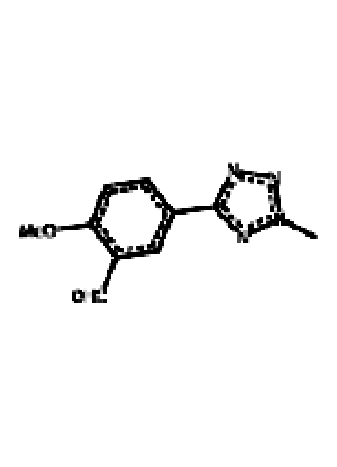 COc1ccc(-c2nnn(C)n2)cc1C=O